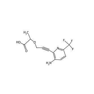 CC(OCC#Cc1nc(C(F)(F)F)ccc1N)C(=O)O